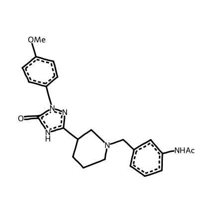 COc1ccc(-n2nc(C3CCCN(Cc4cccc(NC(C)=O)c4)C3)[nH]c2=O)cc1